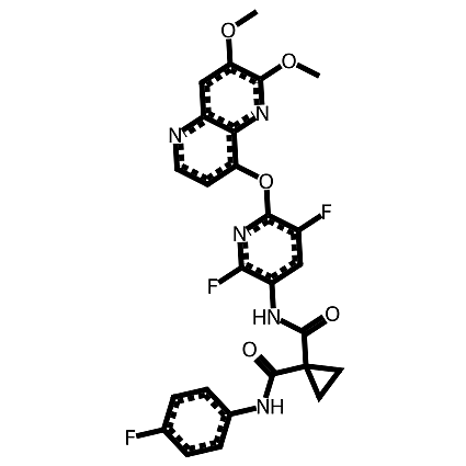 COc1cc2nccc(Oc3nc(F)c(NC(=O)C4(C(=O)Nc5ccc(F)cc5)CC4)cc3F)c2nc1OC